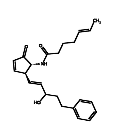 CC=CCCCC(=O)N[C@H]1C(=O)C=C[C@@H]1C=CC(O)CCc1ccccc1